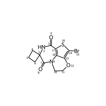 O=C1NC2(CCC2)C(=O)N2CCOc3c(Br)sc1c32